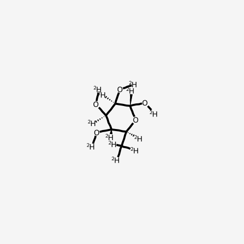 [2H]O[C@]1([2H])O[C@@]([2H])(C([2H])([2H])[2H])[C@]([2H])(O[2H])[C@@]([2H])(O[2H])[C@@]1([2H])O[2H]